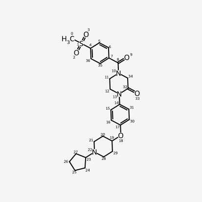 CS(=O)(=O)c1ccc(C(=O)N2CCN(c3ccc(OC4CCN(C5CCCC5)CC4)cc3)C(=O)C2)cc1